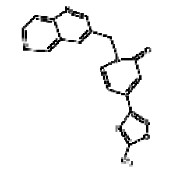 O=c1cc(-c2noc(C(F)(F)F)n2)ccn1Cc1cnc2ccccc2c1